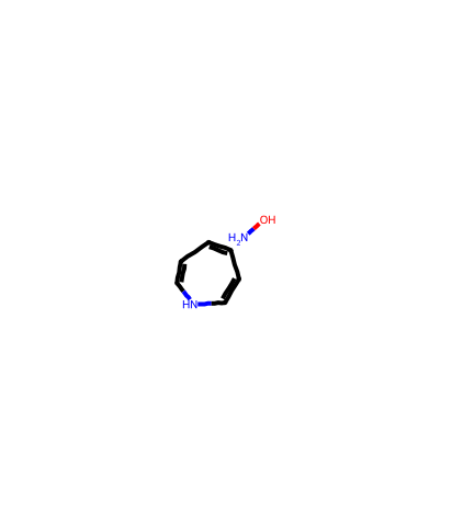 C1=CC=CNC=C1.NO